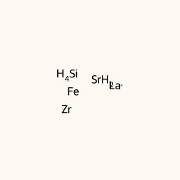 [Fe].[La].[SiH4].[SrH2].[Zr]